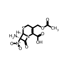 CC(=O)OCC1=C(C(=O)O)N2C(=O)[C@@](N)([N+](=O)[O-])[C@H]2SC1